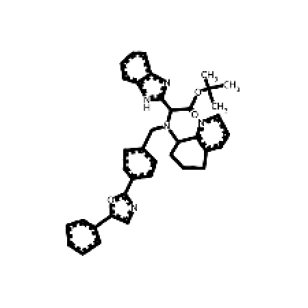 CC(C)(C)OC(=O)C(c1nc2ccccc2[nH]1)N(Cc1ccc(-c2ncc(-c3ccccc3)o2)cc1)C1CCCc2cccnc21